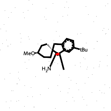 CO[C@H]1CC[C@]2(CC1)Cc1ccc(C(C)(C)C)cc1C21N=C(C)C(N)=N1